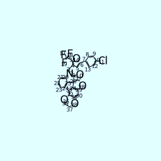 O=C1N(Cc2cc(-c3ccc(Cl)cc3)oc2C(F)(F)F)c2ccccc2C12COc1cc3c(cc12)OCCO3